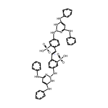 O=S(=O)(O)c1cc(NN2N=C(Nc3ccccc3)C=C(Nc3ccccc3)N2)ccc1/C=C/c1ccc(NN2N=C(Nc3ccccc3)C=C(Nc3ccccc3)N2)cc1S(=O)(=O)O